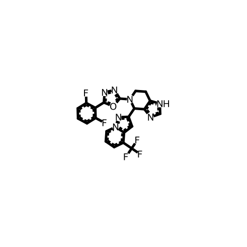 Fc1cccc(F)c1-c1nnc(N2CCc3[nH]cnc3C2c2cc3c(C(F)(F)F)cccn3n2)o1